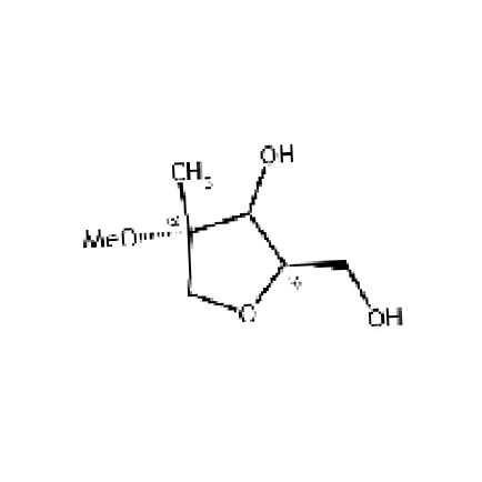 CO[C@@]1(C)CO[C@H](CO)C1O